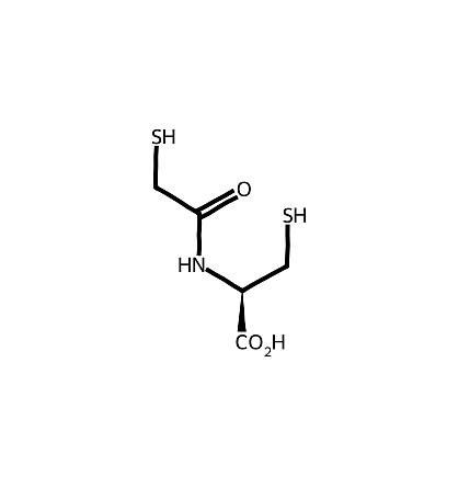 O=C(CS)N[C@@H](CS)C(=O)O